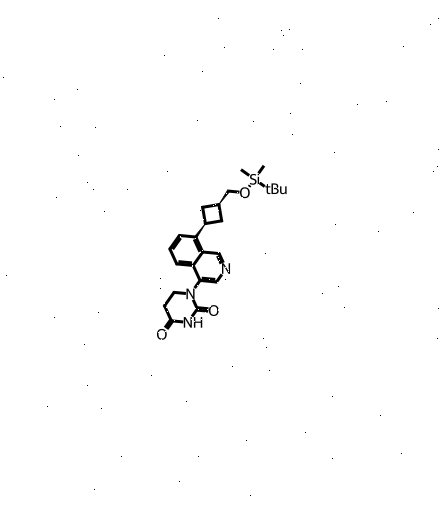 CC(C)(C)[Si](C)(C)OC[C@H]1C[C@@H](c2cccc3c(N4CCC(=O)NC4=O)cncc32)C1